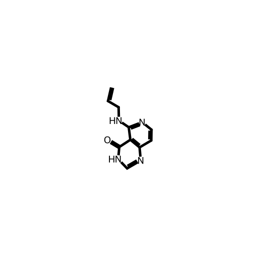 C=CCNc1nccc2nc[nH]c(=O)c12